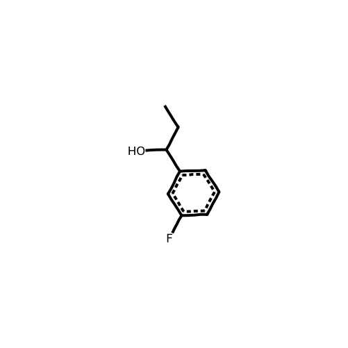 CCC(O)c1cccc(F)c1